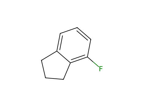 Fc1cccc2c1CCC2